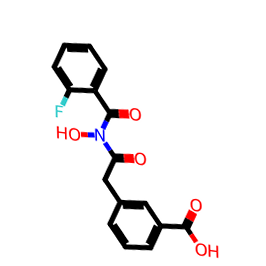 O=C(O)c1cccc(CC(=O)N(O)C(=O)c2ccccc2F)c1